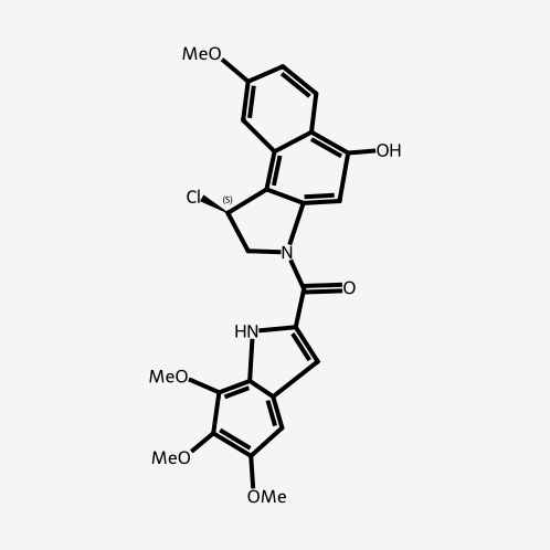 COc1ccc2c(O)cc3c(c2c1)[C@H](Cl)CN3C(=O)c1cc2cc(OC)c(OC)c(OC)c2[nH]1